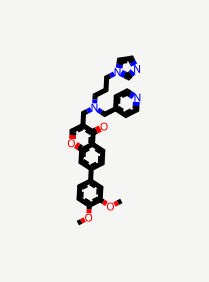 COc1ccc(-c2ccc3c(=O)c(CN(CCCn4ccnc4)Cc4ccncc4)coc3c2)cc1OC